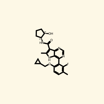 Cc1ccc(OCC2CC2)c(-c2ncnc3c(C(=O)N[C@H]4CCC[C@H]4O)c(C)[nH]c23)c1F